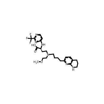 COCCN(CCCCc1ccc2c(n1)NCCC2)CC[C@H](Nc1ccnc(C(F)(F)F)n1)C(=O)O